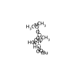 Cc1cc(COc2ccc(C3(C)CCN(C(C(=O)NO)C4CCN(C(=O)OC(C)(C)C)CC4)C3=O)cc2)cc(C)n1